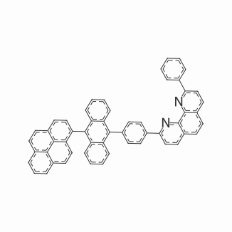 c1ccc(-c2ccc3ccc4ccc(-c5ccc(-c6c7ccccc7c(-c7ccc8ccc9cccc%10ccc7c8c9%10)c7ccccc67)cc5)nc4c3n2)cc1